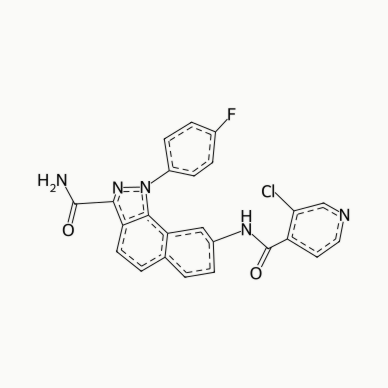 NC(=O)c1nn(-c2ccc(F)cc2)c2c1ccc1ccc(NC(=O)c3ccncc3Cl)cc12